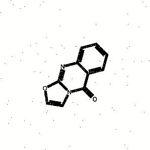 O=c1c2ccccc2nc2occn12